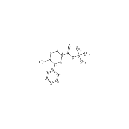 CN1CCN(C(=O)OC(C)(C)C)CC1c1ccccc1